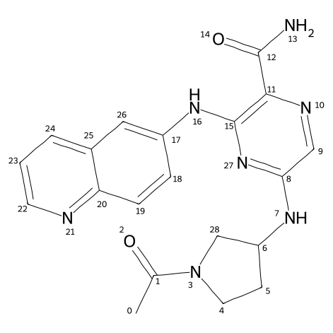 CC(=O)N1CCC(Nc2cnc(C(N)=O)c(Nc3ccc4ncccc4c3)n2)C1